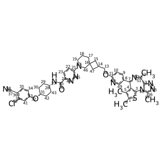 Cc1sc2c(c1C)C(c1ccc(OCC3CC4(CCCN(c5ccc(C(=O)N[C@H]6CC[C@H](Oc7ccc(C#N)c(Cl)c7)CC6)nn5)C4)C3)nc1)=N[C@@H](C)c1nnc(C)n1-2